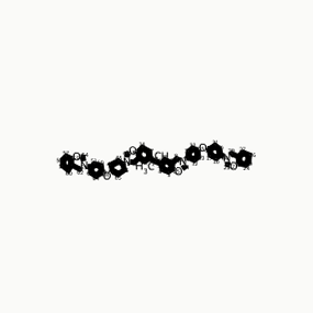 CC(C)(c1ccc2c(c1)CN(c1ccc(Oc3ccc(N4COc5ccccc5C4)cc3)cc1)CO2)c1ccc2c(c1)CN(C1C=CC(Oc3ccc(N4COc5ccccc5C4)cc3)=CC1)CO2